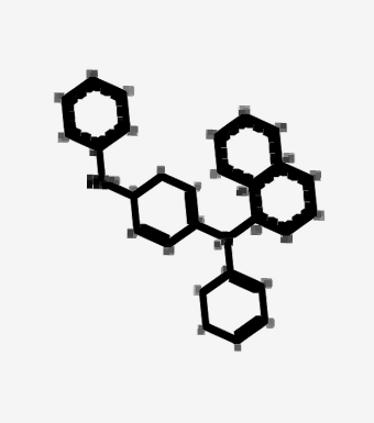 C1=CCCC(N(C2=CCC(Nc3ccccc3)C=C2)c2cccc3ccccc23)=C1